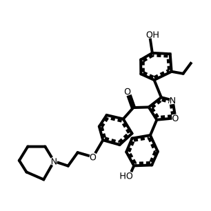 CCc1cc(O)ccc1-c1noc(-c2ccc(O)cc2)c1C(=O)c1ccc(OCCN2CCCCC2)cc1